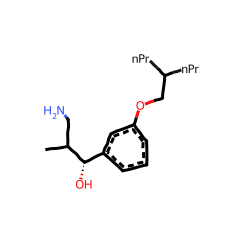 CCCC(CCC)COc1cccc([C@H](O)C(C)CN)c1